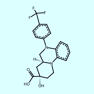 O=C(O)[C@]1(O)CCN2c3ccccc3N(c3ccc(C(F)(F)F)cc3)C[C@@H]2C1